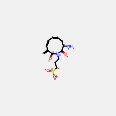 C=C1/C=C\C=C/CC(N)C(=O)N(CCCS(=O)O)C1=O